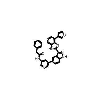 O=C(Cc1ccccc1)Nc1cncc(-c2ccc3[nH]nc(-c4nc5c(-c6ccoc6)cncc5[nH]4)c3c2)c1